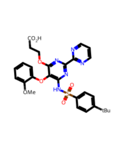 COc1ccccc1Oc1c(NS(=O)(=O)c2ccc(C(C)(C)C)cc2)nc(-c2ncccn2)nc1OCCC(=O)O